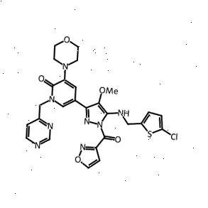 COc1c(-c2cc(N3CCOCC3)c(=O)n(Cc3ccncn3)c2)nn(C(=O)c2ccon2)c1NCc1ccc(Cl)s1